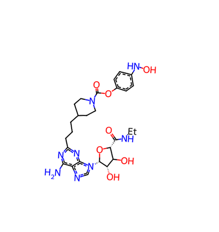 CCNC(=O)[C@H]1O[C@@H](n2cnc3c(N)nc(CCCC4CCN(C(=O)Oc5ccc(NO)cc5)CC4)nc32)[C@@H](O)C1O